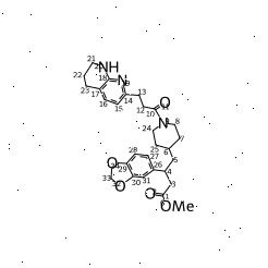 COC(=O)CC(CC1CCN(C(=O)CCc2ccc3c(n2)NCCC3)CC1)c1ccc2c(c1)OCO2